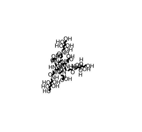 CC(=O)N[C@@H](CCC(=O)NC[C@H](O)[C@@H](O)[C@H](O)[C@H](O)CO)C(=O)N[C@@H](CCC(=O)O)C(=O)N[C@@H](CCC(=O)N(N)C[C@H](O)[C@@H](O)[C@H](O)[C@H](O)CO)C(=O)N[C@@H](CCC(=O)O)C(=O)N[C@@H](CCC(=O)NC[C@H](O)[C@@H](O)[C@H](O)[C@H](O)CO)C(=O)N[C@@H](CS)C(=O)O